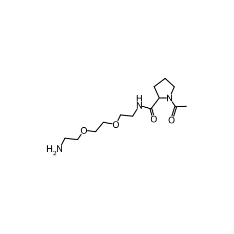 CC(=O)N1CCCC1C(=O)NCCOCCOCCN